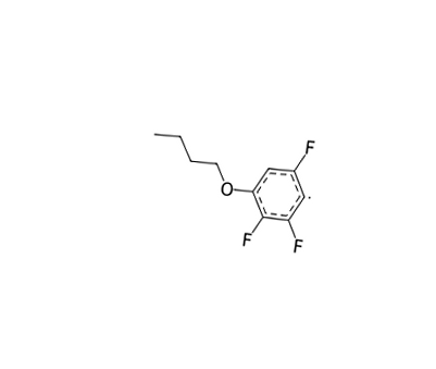 CCCCOc1cc(F)[c]c(F)c1F